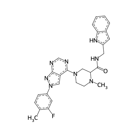 Cc1ccc(-n2cc3c(N4CCN(C)C(C(=O)NCc5cc6ccccc6[nH]5)C4)ncnc3n2)cc1F